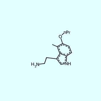 CCCOc1ccc2[nH]cc(CCN)c2c1C